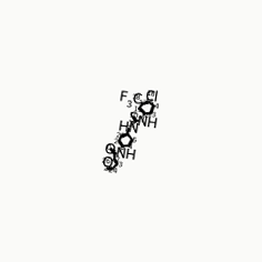 O=C(Nc1ccc(CNC(=S)Nc2ccc(Cl)c(C(F)(F)F)c2)cc1)c1ccco1